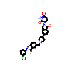 O=C1CCC(N2Cc3cc(C4CCN(Cc5ccc6c(c5)C(=O)N(c5cccc(Cl)c5)C6)CC4)ccc3C2=O)C(=O)N1